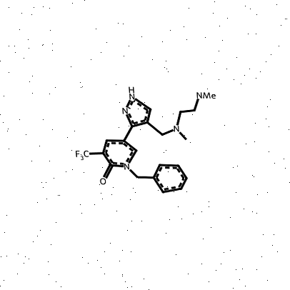 CNCCN(C)Cc1c[nH]nc1-c1cc(C(F)(F)F)c(=O)n(Cc2ccccc2)c1